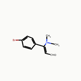 CN(C)C(=CC=O)c1ccc(Br)cc1